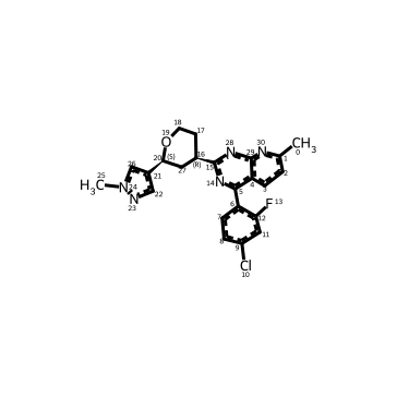 Cc1ccc2c(-c3ccc(Cl)cc3F)nc([C@@H]3CCO[C@H](c4cnn(C)c4)C3)nc2n1